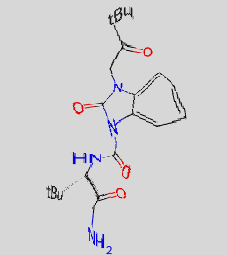 CC(C)(C)C(=O)Cn1c(=O)n(C(=O)N[C@H](C(N)=O)C(C)(C)C)c2ccccc21